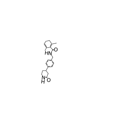 CC1=CCCC(C)=C1C(=O)NCc1ccc(C2CCNC(=O)C2)cc1